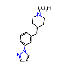 O=C(O)N1CCC(=Cc2cccc(-n3cccn3)c2)CC1